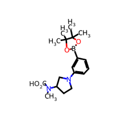 CN(C(=O)O)C1CCN(c2cccc(B3OC(C)(C)C(C)(C)O3)c2)C1